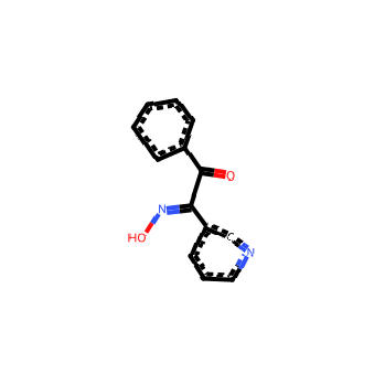 O=C(/C(=N/O)c1cccnc1)c1ccccc1